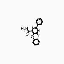 NC(=O)c1nc(-c2ccccc2)nc(F)c1Oc1ccccc1